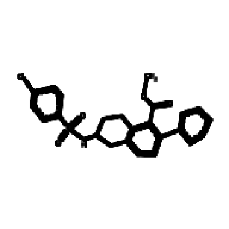 COC(=O)c1c(-c2ccccc2)ccc2c1CCC(NS(=O)(=O)c1ccc(Cl)cc1)C2